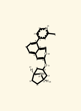 Cc1cc(C2=CCC=C3C=C(OC4C[C@H]5CC[C@@H](C4)N5)OC=C32)ccn1